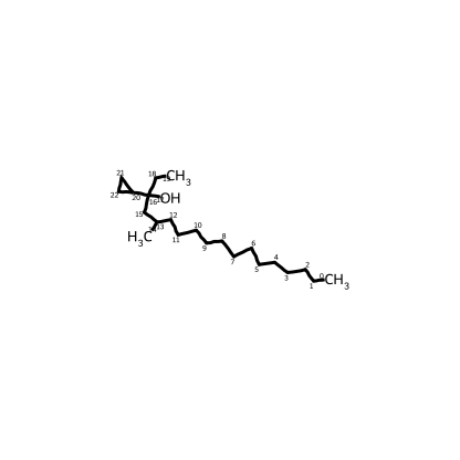 CCCCCCCCCCCCCC(C)CC(O)(CC)C1CC1